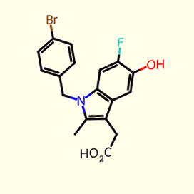 Cc1c(CC(=O)O)c2cc(O)c(F)cc2n1Cc1ccc(Br)cc1